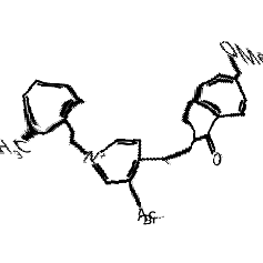 COc1ccc2c(c1)CC(Cc1cc[n+](Cc3ccccc3C)cc1C(C)=O)C2=O.[Br-]